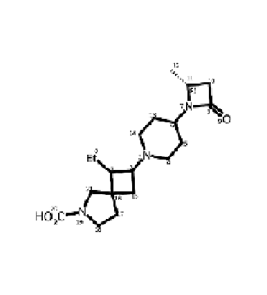 CCC1C(N2CCC(N3C(=O)C[C@H]3C)CC2)CC12CCN(C(=O)O)C2